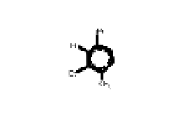 CCc1c(C(C)C)ccc(C(F)(F)F)c1CC